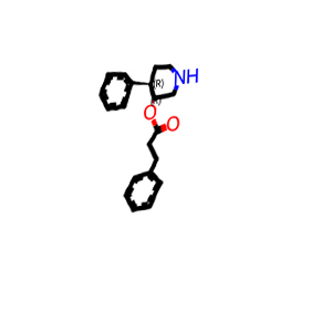 O=C(CCc1ccccc1)O[C@H]1CNCC[C@@H]1c1ccccc1